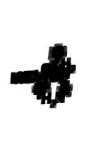 Cl.Cl.Cl.N[C@H]1CCN(CC[C@H](N)C(=O)N[C@@H](CCc2ccccc2)C(=O)Nc2cccc(C(F)(F)F)c2)C1